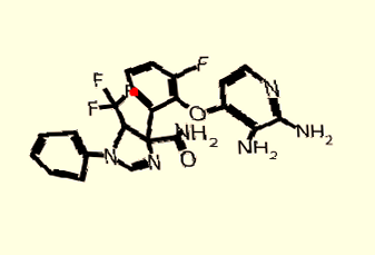 NC(=O)C1(c2cccc(F)c2Oc2ccnc(N)c2N)N=CN(c2ccccc2)C1C(F)(F)F